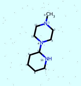 CN1CCN(C2C[CH]CCN2)CC1